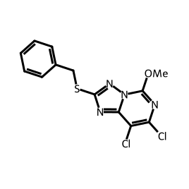 COc1nc(Cl)c(Cl)c2nc(SCc3ccccc3)nn12